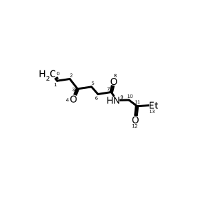 C=CCC(=O)CCC(=O)NCC(=O)CC